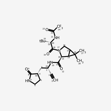 C#C[C@H](C[C@@H]1CCNC1=O)NC(=O)[C@@H]1C2C(CN1C(=O)[C@@H](NC(=O)C(F)(F)F)C(C)(C)C)C2(C)C